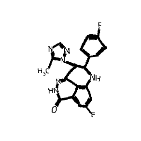 Cc1ncnn1C1c2n[nH]c(=O)c3cc(F)cc(c23)NC1c1ccc(F)cc1